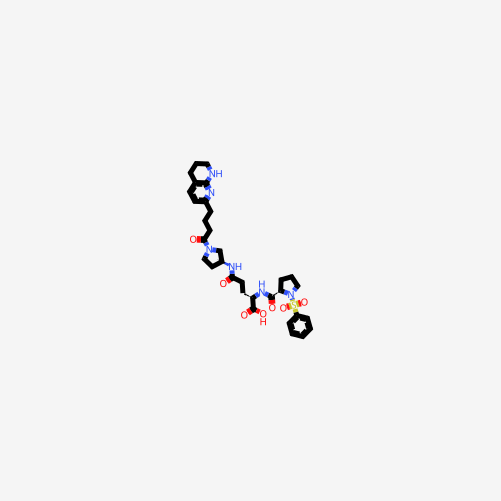 O=C(CC[C@H](NC(=O)[C@@H]1CCCN1S(=O)(=O)c1ccccc1)C(=O)O)N[C@H]1CCN(C(=O)CCCc2ccc3c(n2)NCCC3)C1